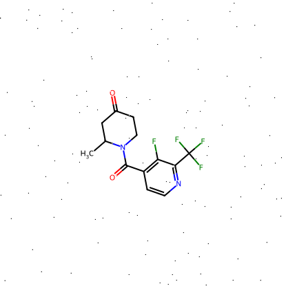 CC1CC(=O)CCN1C(=O)c1ccnc(C(F)(F)F)c1F